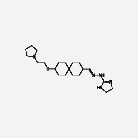 C(=NNC1=NCCN1)C1CCC2(CC1)CCC(OCCN1CCCC1)CC2